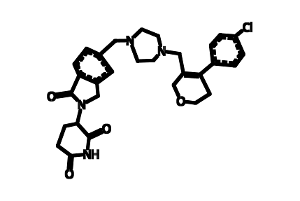 O=C1CCC(N2Cc3cc(CN4CCN(CC5=C(c6ccc(Cl)cc6)CCOC5)CC4)ccc3C2=O)C(=O)N1